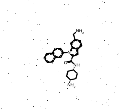 NCc1ccc2cc(C(=O)N[C@H]3CC[C@H](N)CC3)n(-c3ccc4ccccc4c3)c2c1